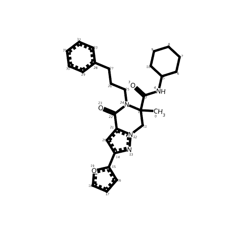 CC1(C(=O)NC2CCCCC2)Cn2nc(-c3ccco3)cc2C(=O)N1CCCc1ccccc1